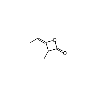 C/C=C1/OC(=O)C1C